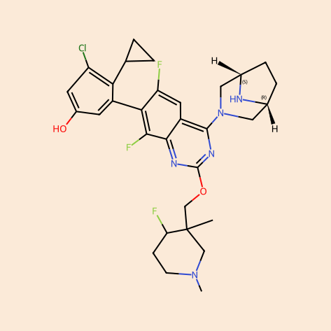 CN1CCC(F)C(C)(COc2nc(N3C[C@H]4CC[C@@H](C3)N4)c3cc(F)c(-c4cc(O)cc(Cl)c4C4CC4)c(F)c3n2)C1